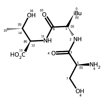 CC[C@H](C)[C@H](NC(=O)[C@@H](N)CO)C(=O)N[C@@H](C(=O)O)[C@H](C)O